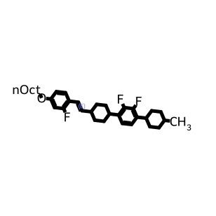 CCCCCCCCOc1ccc(/C=C/C2CCC(c3ccc(C4CCC(C)CC4)c(F)c3F)CC2)c(F)c1